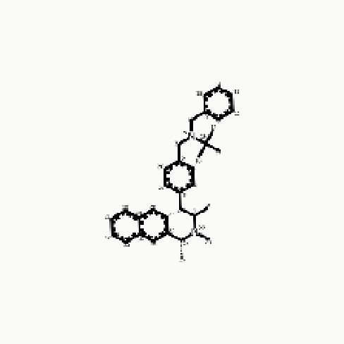 CC(Cc1ccc(CN(Cc2ccccc2)C(C)(C)C)cc1)N(C)[C@H](C)c1ccc2ccccc2c1